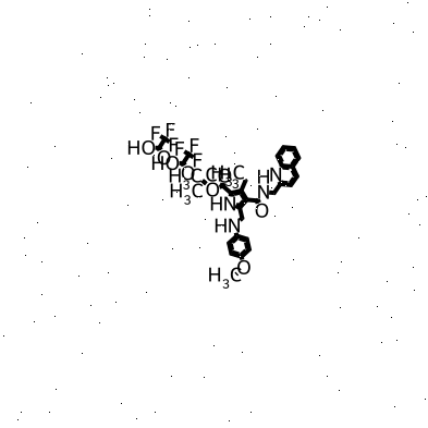 CCc1c(C(=O)OC(C)(C)C)[nH]c(CNc2ccc(OC)cc2)c1C(=O)NCc1ccc2ccccc2n1.O=C(O)C(F)(F)F.O=C(O)C(F)(F)F